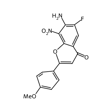 COc1ccc(-c2cc(=O)c3cc(F)c(N)c([N+](=O)[O-])c3o2)cc1